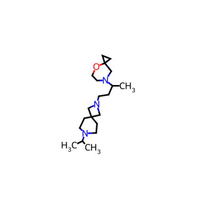 CC(C)N1CCC2(CC1)CN(CCC(C)N1CCOC3(CC3)C1)C2